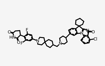 O=C1CCC(c2c(F)cc(N3CCC4(CCC(CN5CCC(c6ccc7c(c6)-n6c(nc(=O)c8c(Cl)cccc86)C76CCCCC6)CC5)CC4)CC3)cc2F)C(=O)N1